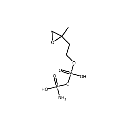 CC1(CCOP(=O)(O)OP(N)(=O)O)CO1